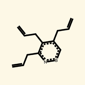 C=CCc1cbnc(CC=C)c1CC=C